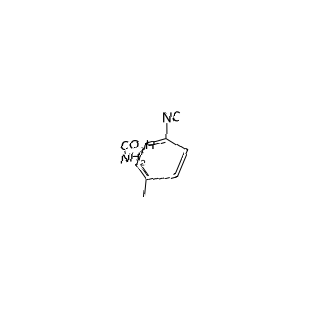 NC(=O)O.[C-]#[N+]c1ccc(C)cc1